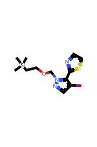 C[Si](C)(C)CCOCn1ncc(I)c1-c1nccs1